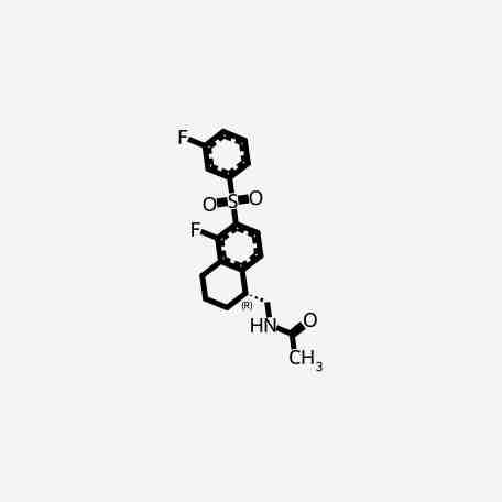 CC(=O)NC[C@@H]1CCCc2c1ccc(S(=O)(=O)c1cccc(F)c1)c2F